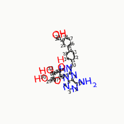 Nc1ncnc2c1nc(NCc1ccc(-c3cccc(CO)c3)cc1)n2[C@@H]1O[C@H](CO)[C@@H](O)[C@H]1O